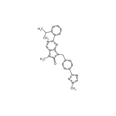 CC(C)c1ccccc1-c1ncc2c(n1)n(Cc1ccc(-c3ncn(C)n3)cc1)c(=O)n2C